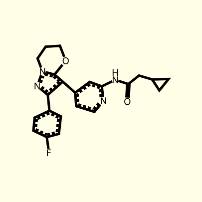 O=C(CC1CC1)Nc1cc(-c2c(-c3ccc(F)cc3)nn3c2OCCC3)ccn1